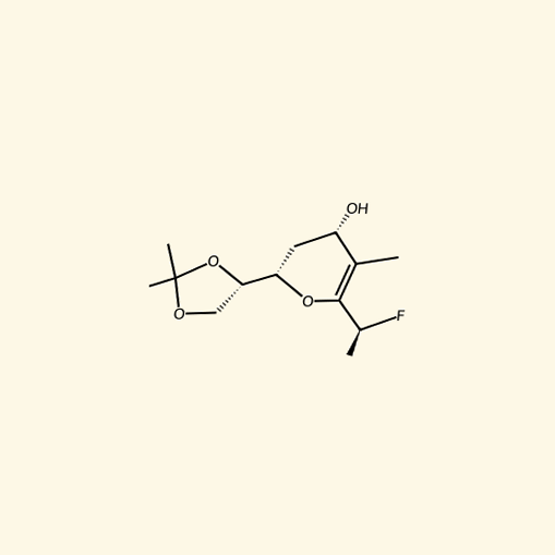 CC1=C([C@H](C)F)O[C@H]([C@@H]2COC(C)(C)O2)C[C@@H]1O